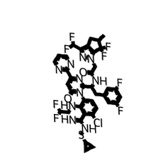 CC1Cc2c(C(F)F)nn(CC(=O)NC(Cc3cc(F)cc(F)c3)c3nc(-c4ncccn4)cc(=O)n3-c3ccc(Cl)c(C(=N)NSC4CC4)c3NCC(F)F)c2C1(F)F